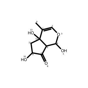 CC1=COC(O)C2C(=O)C(O)CC12O